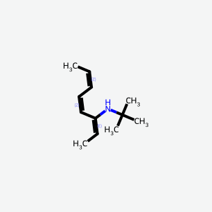 C\C=C/C=C\C(=C/C)NC(C)(C)C